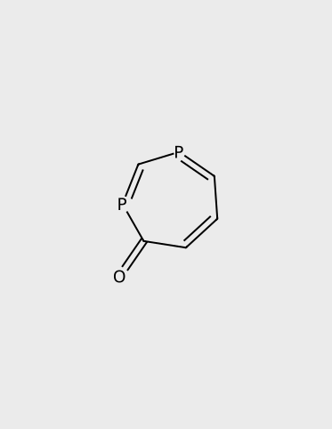 O=c1cccpcp1